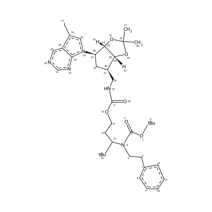 CC(C)(C)OC(=O)N(CCc1ccccc1)C(CCOC(=O)NC[C@H]1C[C@@H](n2cc(I)c3cncnc32)[C@@H]2OC(C)(C)O[C@H]12)C(C)(C)C